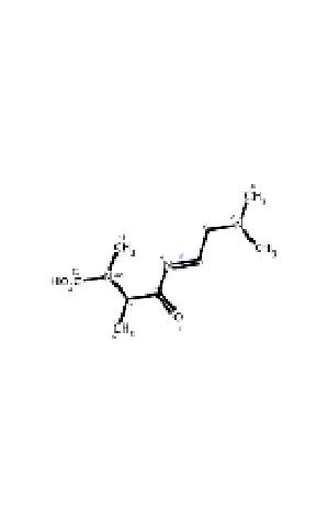 CC(C(=O)/N=C/CN(C)C)N(C)C(=O)O